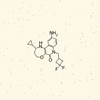 Nc1ccc2c(c1)c1c(c(=O)n2CC2CC(F)(F)C2)OCCC(C2CC2)N1